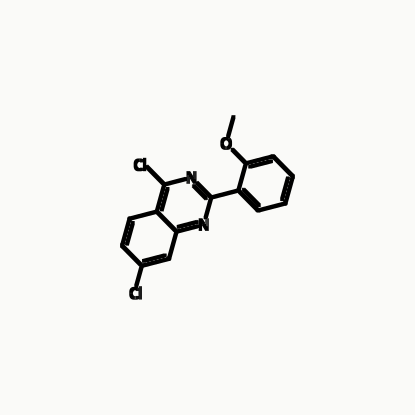 COc1ccccc1-c1nc(Cl)c2ccc(Cl)cc2n1